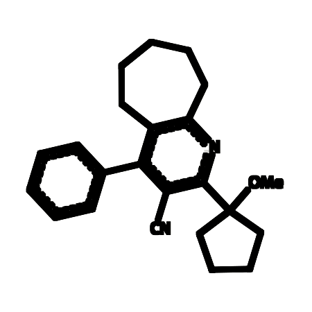 COC1(c2nc3c(c(-c4ccccc4)c2C#N)CCCCC3)CCCC1